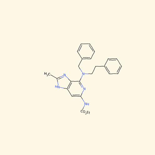 CCOC(=O)Nc1cc2[nH]c(C)nc2c(N(CCc2ccccc2)Cc2ccccc2)n1